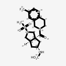 CS(=O)(=O)N1C[C@@H]2C[C@@H](NC(=O)O)C[C@]2(C(=O)N2CCc3ncc(C(F)(F)F)cc3C2)C1